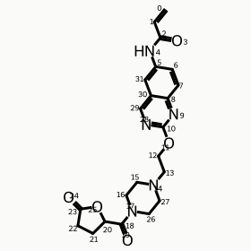 C=CC(=O)Nc1ccc2nc(OCCN3CCN(C(=O)C4CCC(=O)O4)CC3)ncc2c1